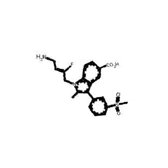 Cc1c(-c2cccc(S(C)(=O)=O)c2)c2cc(C(=O)O)ccc2n1CC(F)=CCN